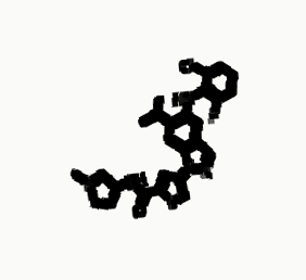 C=C(C)c1cc2c(cnn2-c2csc(C(=O)NC3CCN(C)C3)c2)cc1Nc1c(F)cccc1Cl